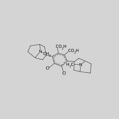 CN1C2CCC1CC(c1c(Cl)c(Cl)c(C3CC4CCC(C3)N4C)c(C(=O)O)c1C(=O)O)C2